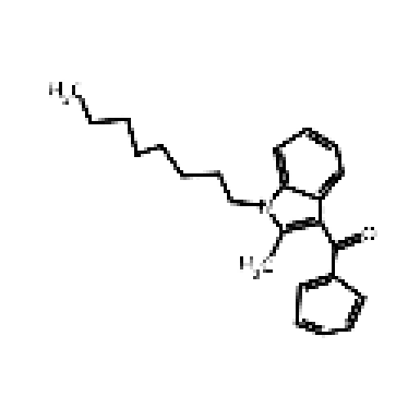 CCCCCCCCn1c(C)c(C(=O)c2ccccc2)c2ccccc21